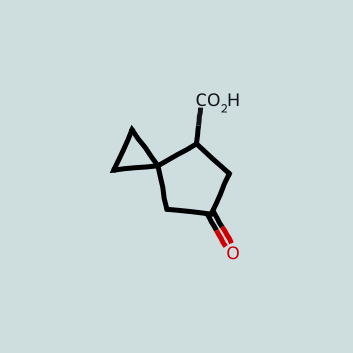 O=C1CC(C(=O)O)C2(CC2)C1